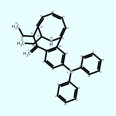 C=C1c2ccc(N(c3ccccc3)c3ccccc3)cc2/C2=C/C=C\C=C(/C(CC)N2)C1CC